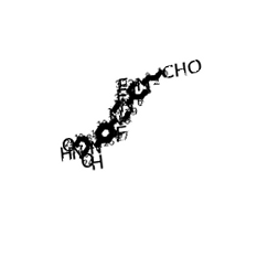 O=CCCCN1CCC(N2CCN(c3ccc(NC4CCC(=O)NC4=O)cc3F)CC2)C(F)(F)C1